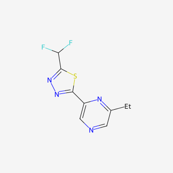 CCc1cncc(-c2nnc(C(F)F)s2)n1